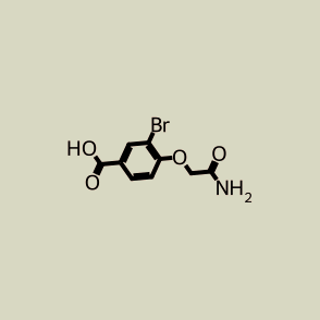 NC(=O)COc1ccc(C(=O)O)cc1Br